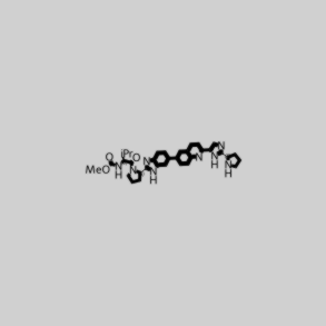 COC(=O)N[C@H](C(=O)N1CCC[C@H]1c1nc2ccc(-c3ccc4nc(-c5cnc([C@@H]6CCCN6)[nH]5)ccc4c3)cc2[nH]1)C(C)C